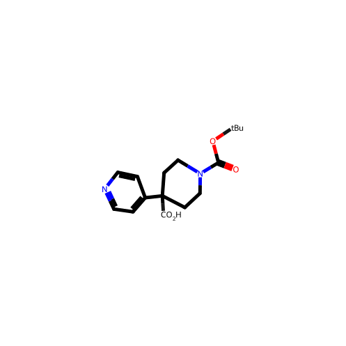 CC(C)(C)OC(=O)N1CCC(C(=O)O)(c2ccncc2)CC1